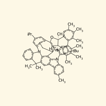 Cc1ccc2c(c1)c1cc3c4c(c1n2-c1cc(C(C)(C)C)cc[n+]1C)C1Cc2c(cc(C(C)C)cc2N4c2ccccc2C3(C)C)C2=[N+]1[C@@H]1c3cc(C)c(C)c(C)c3-c3c(cc(C)c(C)c3C)[C@]1(C)O2